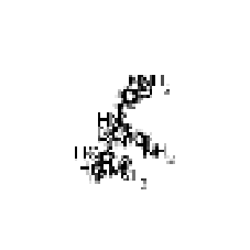 CCCN(C(=O)C(F)(F)F)[C@H]1C[C@@H](n2cnc3c(NCCc4ccc(S(N)(=O)=O)cc4)nc(N4CC[C@@H](N)C4)nc32)[C@H](O)[C@@H]1O